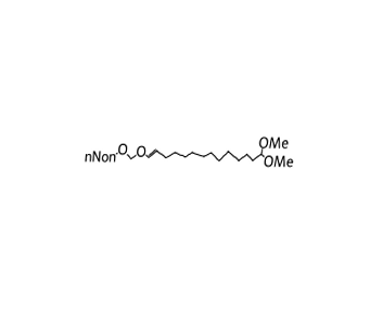 CCCCCCCCCOCOC=CCCCCCCCCCCCC(OC)OC